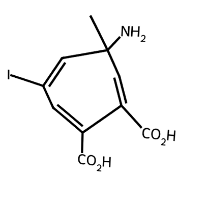 CC1(N)C=C(I)C=C(C(=O)O)C(C(=O)O)=C1